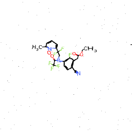 CCOC(=O)Cc1c(C#N)ccc(N(CC(F)(F)c2cccc(C)[n+]2[O-])C(=O)C(F)(F)F)c1F